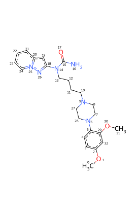 COc1ccc(N2CCN(CCCCN(C(N)=O)c3cc4ccccn4n3)CC2)c(OC)c1